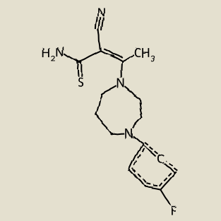 C/C(=C(\C#N)C(N)=S)N1CCCN(c2ccc(F)cc2)CC1